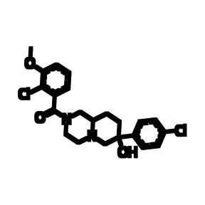 COc1cccc(C(=O)N2CCN3CC(O)(c4ccc(Cl)cc4)CCC3C2)c1Cl